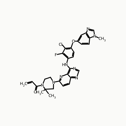 C=CC(=O)N1CCN(c2ccc3ncnc(Nc4ccc(Oc5ccc6c(c5)ncn6C)c(Cl)c4F)c3n2)CC1(C)C